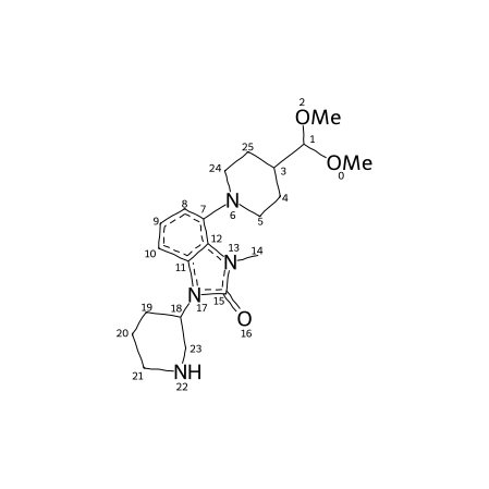 COC(OC)C1CCN(c2cccc3c2n(C)c(=O)n3C2CCCNC2)CC1